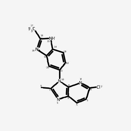 Cc1nc2ccc(Cl)nc2n1-c1ccc2[nH]c(C(F)(F)F)nc2c1